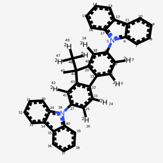 [2H]c1c([2H])c(-n2c3ccccc3c3ccccc32)c([2H])c2c1-c1c([2H])c([2H])c(-n3c4ccccc4c4ccccc43)c([2H])c1C2(C)C([2H])([2H])[2H]